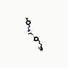 FC(F)(F)c1ccc(/C=C/C2=NC(COc3ccc(CCCc4cnn[nH]4)cc3)CO2)cc1